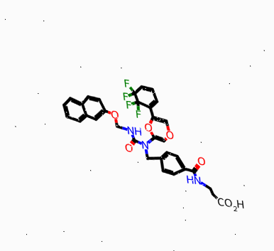 O=C(O)CCNC(=O)c1ccc(CN(C(=O)NCOc2ccc3ccccc3c2)C2=COC=C(C3=CC=CC(F)(F)C3(F)F)O2)cc1